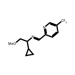 COCC(N=Cc1ccc(C(F)(F)F)cn1)C1CC1